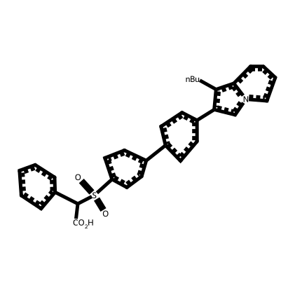 CCCCc1c(-c2ccc(-c3ccc(S(=O)(=O)C(C(=O)O)c4ccccc4)cc3)cc2)cn2ccccc12